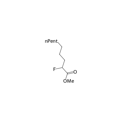 CCCCCCCCC(F)C(=O)OC